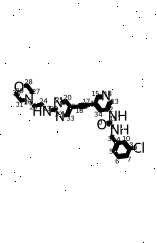 O=C(NCc1cccc(Cl)c1)Nc1cncc(C#Cc2cnc(NCCN3CCOCC3)nc2)c1